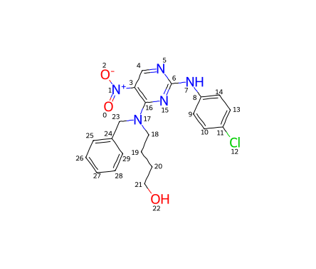 O=[N+]([O-])c1cnc(Nc2ccc(Cl)cc2)nc1N(CCCCO)Cc1ccccc1